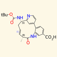 C[C@@H]1/C=C/C[C@H](NC(=O)OC(C)(C)C)c2cc(ccn2)-c2ccc(C(=O)O)cc2NC1=O